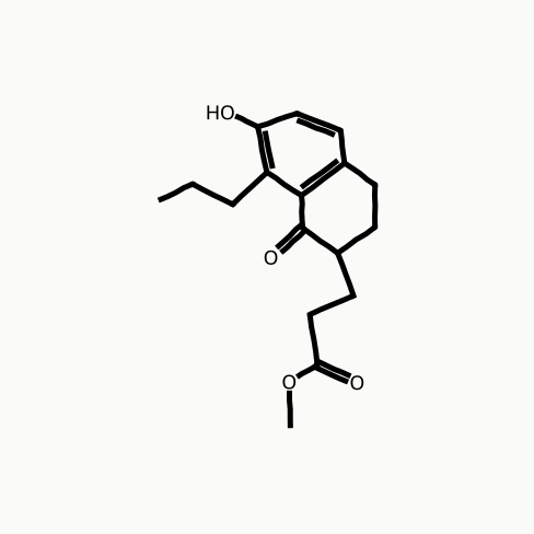 CCCc1c(O)ccc2c1C(=O)C(CCC(=O)OC)CC2